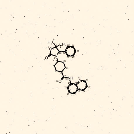 CC1(C)OC(=O)N(C2CCC(C(=O)Nc3cccc4cccnc34)CC2)C1c1ccccc1